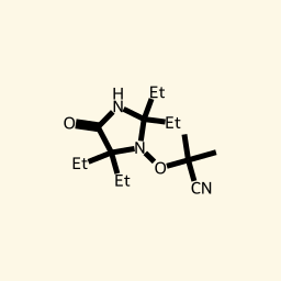 CCC1(CC)NC(=O)C(CC)(CC)N1OC(C)(C)C#N